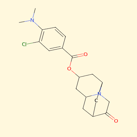 CN(C)c1ccc(C(=O)OC2CC3CC4CC(C2)N3CC4=O)cc1Cl